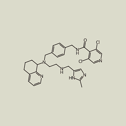 Cc1ncc(CNCCN(Cc2ccc(CNC(=O)c3c(Cl)cncc3Cl)cc2)C2CCCc3cccnc32)[nH]1